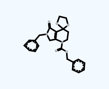 O=C1C2=C(CN1Cc1ccccc1)N(C(=O)OCc1ccccc1)CCC21OCCO1